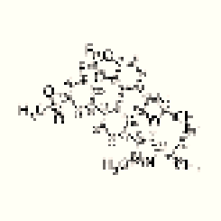 Cc1nc(-c2ccc3c(c2)OC(F)(F)O3)c(-c2cc(-c3cccc(S(C)(=O)=O)c3)ccc2-c2cc(C(C)C#N)nn2C)o1